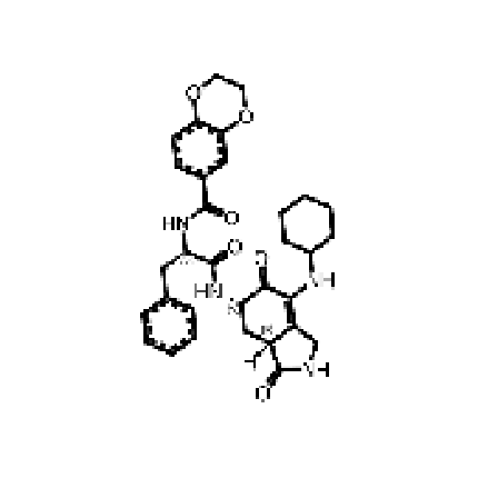 O=C(N[C@H](Cc1ccccc1)C(=O)N[C@H]1C[C@H]2C(=O)NCC2=C(NC2CCCCC2)C1=O)c1ccc2c(c1)OCCO2